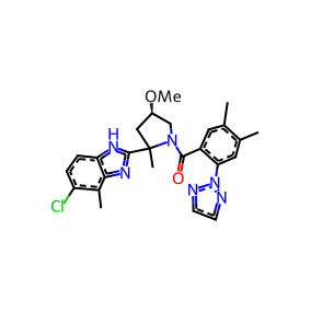 CO[C@H]1CN(C(=O)c2cc(C)c(C)cc2-n2nccn2)C(C)(c2nc3c(C)c(Cl)ccc3[nH]2)C1